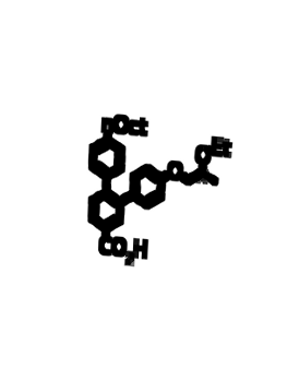 CCCCCCCCc1ccc(-c2ccc(C(=O)O)cc2-c2ccc(OC[C@H](C)OCC)cc2)cc1